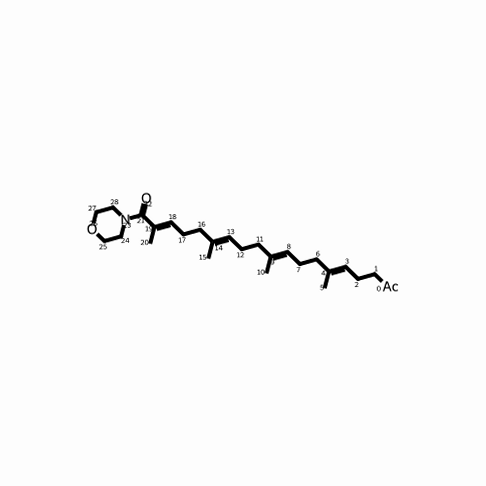 CC(=O)CC/C=C(\C)CC/C=C(\C)CC/C=C(\C)CC/C=C(\C)C(=O)N1CCOCC1